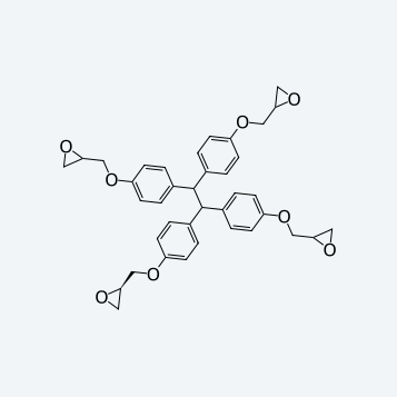 c1cc(C(c2ccc(OCC3CO3)cc2)C(c2ccc(OCC3CO3)cc2)c2ccc(OC[C@H]3CO3)cc2)ccc1OCC1CO1